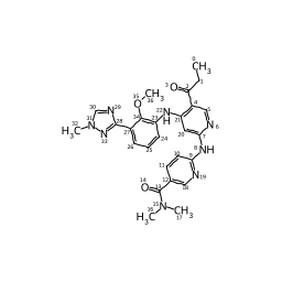 CCC(=O)c1cnc(Nc2ccc(C(=O)N(C)C)cn2)cc1Nc1cccc(-c2ncn(C)n2)c1OC